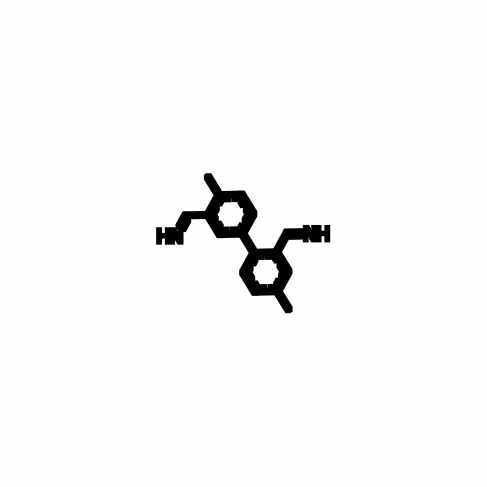 Cc1ccc(-c2ccc(C)c(C=N)c2)c(C=N)c1